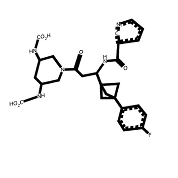 O=C(O)NC1CC(NC(=O)O)CN(C(=O)CC(NC(=O)c2cccnc2)C23CC(c4ccc(F)cc4)(C2)C3)C1